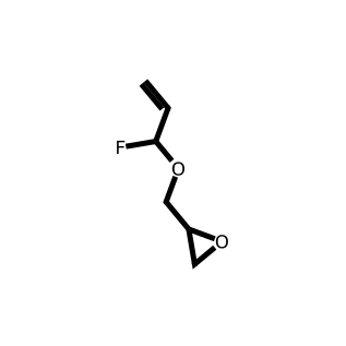 C=CC(F)OCC1CO1